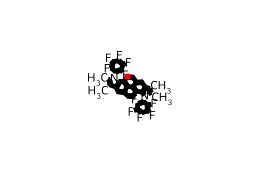 Cc1c(C)n(-c2c(F)c(F)c(F)c(F)c2F)c2c1cc1ccc3c4c(ccc2c14)cc1c(C)c(C)n(-c2c(F)c(F)c(F)c(F)c2F)c13